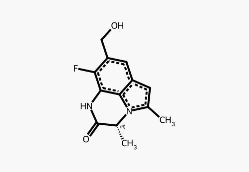 Cc1cc2cc(CO)c(F)c3c2n1[C@H](C)C(=O)N3